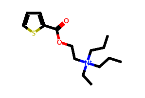 CCC[N+](CC)(CCC)CCOC(=O)c1cccs1